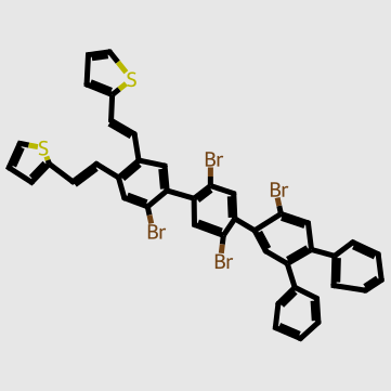 Brc1cc(-c2cc(-c3ccccc3)c(-c3ccccc3)cc2Br)c(Br)cc1-c1cc(/C=C/c2cccs2)c(/C=C/c2cccs2)cc1Br